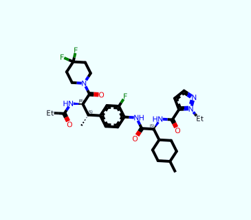 CCC(=O)N[C@@H](C(=O)N1CCC(F)(F)CC1)[C@@H](C)c1ccc(NC(=O)[C@@H](NC(=O)c2ccnn2CC)C2CCC(C)CC2)c(F)c1